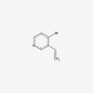 C=Cc1cnccc1Br